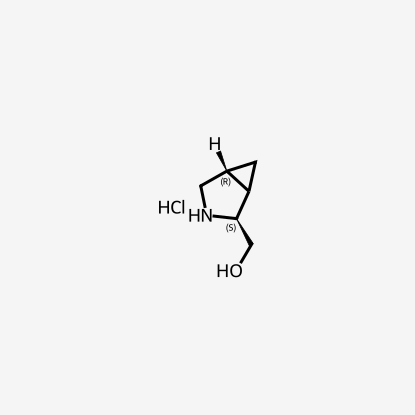 Cl.OC[C@H]1NC[C@@H]2CC21